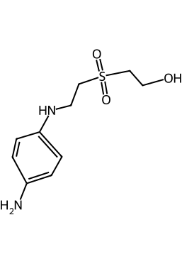 Nc1ccc(NCCS(=O)(=O)CCO)cc1